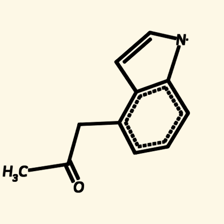 CC(=O)Cc1cccc2c1C=C[N]2